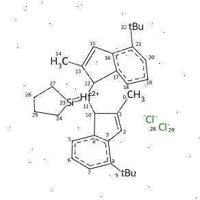 CC1=Cc2c(cccc2C(C)(C)C)[CH]1[Hf+2]([CH]1C(C)=Cc2c1cccc2C(C)(C)C)=[Si]1CCCC1.[Cl-].[Cl-]